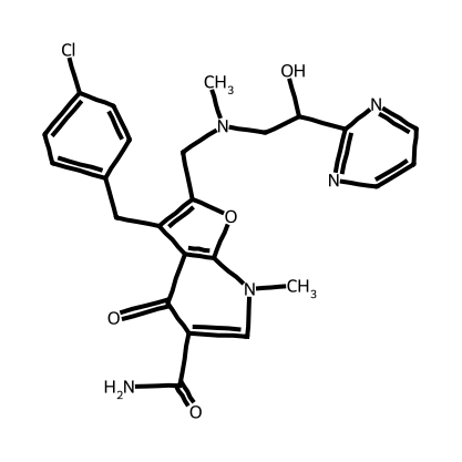 CN(Cc1oc2c(c1Cc1ccc(Cl)cc1)c(=O)c(C(N)=O)cn2C)CC(O)c1ncccn1